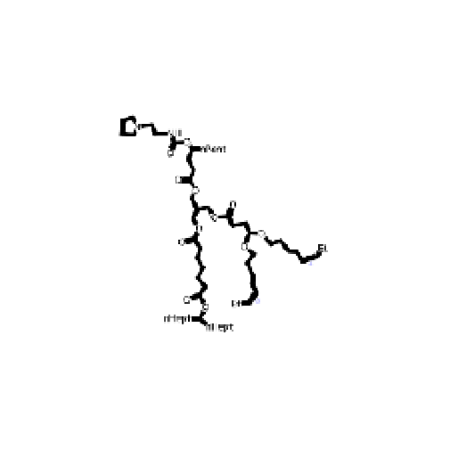 CC/C=C\CCCCOC(CCC(=O)OCC(COC(=O)CCCCCC(=O)OC(CCCCCCC)CCCCCCC)COC(=O)CCC(CCCCC)OC(=O)NCCN1CCCC1)OCCCC/C=C\CC